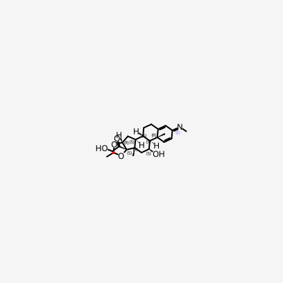 C/N=C1\C=C[C@@]2(C)C(=C1)CC[C@@H]1[C@@H]2[C@@H](O)C[C@@]2(C)[C@H]1C[C@H]1OC(C)O[C@]12C(=O)CO